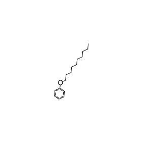 CCCCCCCCCCOc1ccccc1